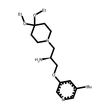 CCOC1(OCC)CCN(C[C@H](N)COc2cncc(C(C)(C)C)c2)CC1